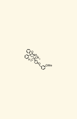 COc1cccc(CO[C@H]2CCN(C(C)(C)CCC(C(N)=O)(c3ccccc3)c3ccccc3)C2)c1